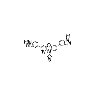 CN1CC(N2c3ccc(-c4ccc5[nH]ncc5c4)cc3Oc3cc(-c4ccc5[nH]ncc5c4)cnc32)C1